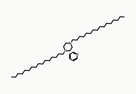 CCCCCCCCCCCCCCCCN1CCN(CCCCCCCCCCCCCCCC)CC1.c1ccncc1